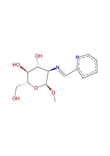 CO[C@H]1O[C@H](CO)[C@@H](O)[C@H](O)[C@H]1N=Cc1ccccn1